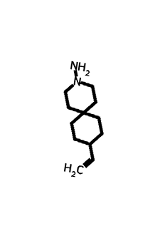 C=CC1CCC2(CC1)CCN(N)CC2